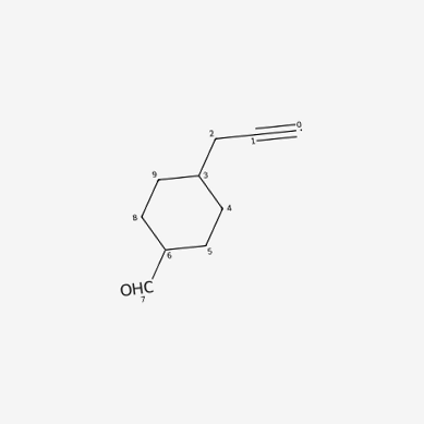 [C]#CCC1CCC(C=O)CC1